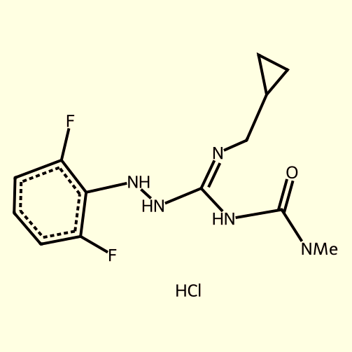 CNC(=O)NC(=NCC1CC1)NNc1c(F)cccc1F.Cl